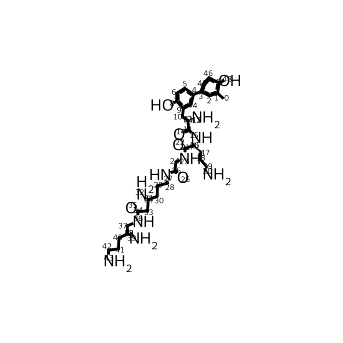 Cc1cc(-c2ccc(O)c(C[C@H](N)C(=O)N[C@@H](CCCN)C(=O)NCC(=O)NCCC[C@H](N)CC(=O)NC[C@@H](N)CCCN)c2)ccc1O